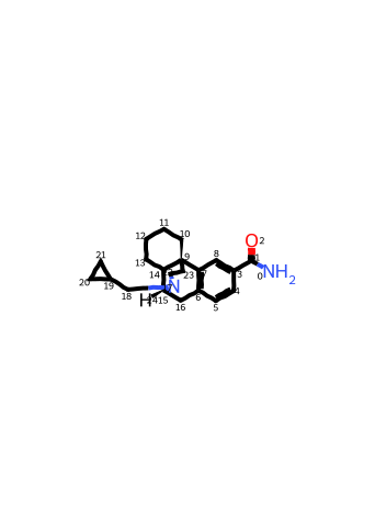 NC(=O)c1ccc2c(c1)[C@@]13CCCCC1[C@@H](C2)N(CC1CC1)CC3